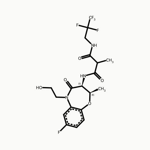 CC(C(=O)NCC(F)(F)C(F)(F)F)C(=O)N[C@@H]1C(=O)N(CCO)c2cc(F)ccc2O[C@@H]1C